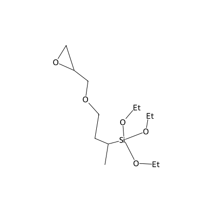 CCO[Si](OCC)(OCC)C(C)CCOCC1CO1